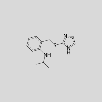 CC(C)Nc1ccccc1CSc1ncc[nH]1